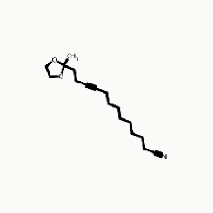 CC1(CCC#CCCCCCCCCC#N)OCCO1